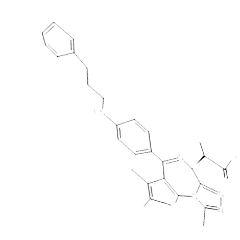 Cc1sc2c(c1C)C(c1ccc(NCCCc3ccccc3)cc1)=N[C@@H](C(C)C(=O)O)c1nnc(C)n1-2